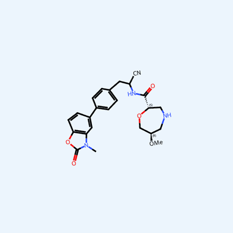 CO[C@@H]1CNC[C@@H](C(=O)NC(C#N)Cc2ccc(-c3ccc4oc(=O)n(C)c4c3)cc2)OC1